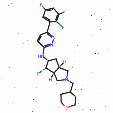 Fc1cc(F)c(F)c(-c2ccc(N[C@H]3C[C@@H]4CN(CC5CCOCC5)C[C@@H]4[C@H]3F)nn2)c1